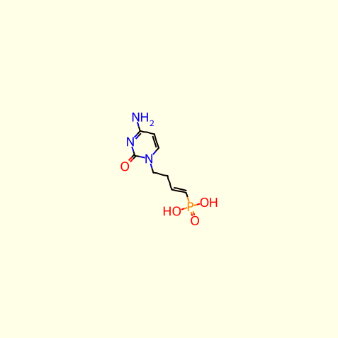 Nc1ccn(CCC=CP(=O)(O)O)c(=O)n1